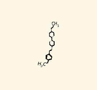 CCC[C@H]1CC[C@H]([C@H]2CC[C@H](CCc3ccc(CC)cc3)CC2)CC1